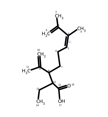 C=C(C)/C(C)=C\CCC(C(=C)C)C(CC)C(=O)O